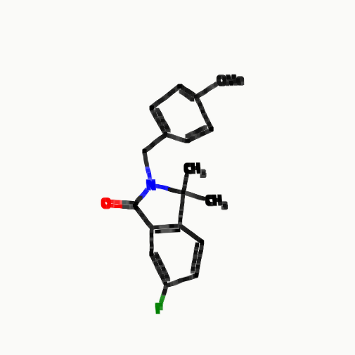 COc1ccc(CN2C(=O)c3cc(F)ccc3C2(C)C)cc1